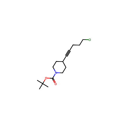 CC(C)(C)OC(=O)N1CCC(C#CCCCCl)CC1